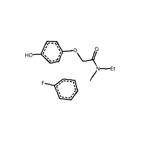 CCN(C)C(=O)COc1ccc(O)cc1.Fc1ccccc1